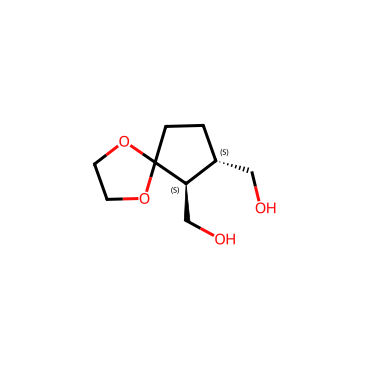 OC[C@H]1CCC2(OCCO2)[C@@H]1CO